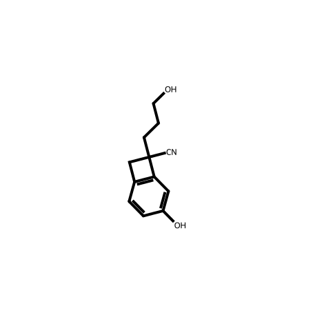 N#CC1(CCCO)Cc2ccc(O)cc21